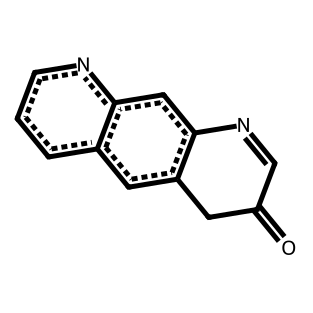 O=C1C=Nc2cc3ncccc3cc2C1